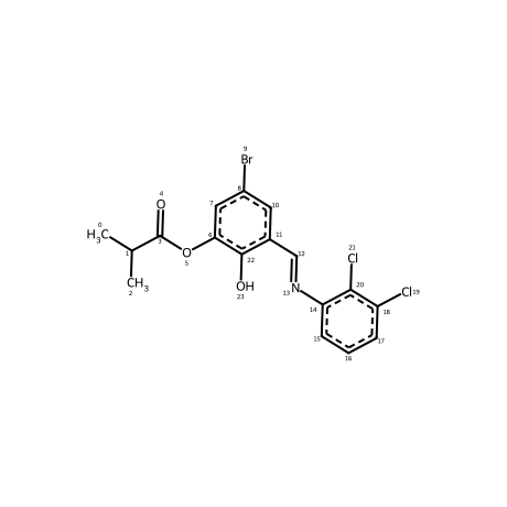 CC(C)C(=O)Oc1cc(Br)cc(C=Nc2cccc(Cl)c2Cl)c1O